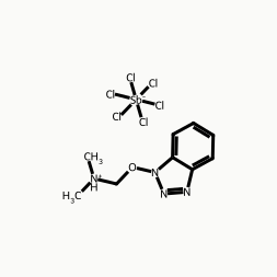 C[NH+](C)COn1nnc2ccccc21.[Cl][Sb-]([Cl])([Cl])([Cl])([Cl])[Cl]